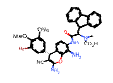 COc1cc([C@H]2C(C#N)=C(N)Oc3c2ccc(NC(=O)C(C2c4ccccc4-c4ccccc42)N(C)C(=O)O)c3N)cc(Br)c1OC